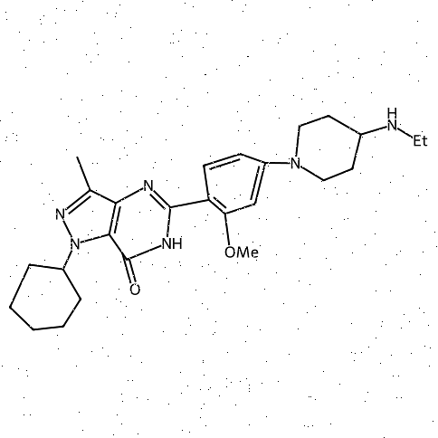 CCNC1CCN(c2ccc(-c3nc4c(C)nn(C5CCCCC5)c4c(=O)[nH]3)c(OC)c2)CC1